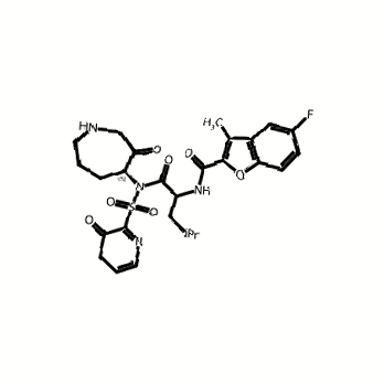 Cc1c(C(=O)NC(CC(C)C)C(=O)N([C@H]2CCCNCC2=O)S(=O)(=O)C2=NC=CCC2=O)oc2ccc(F)cc12